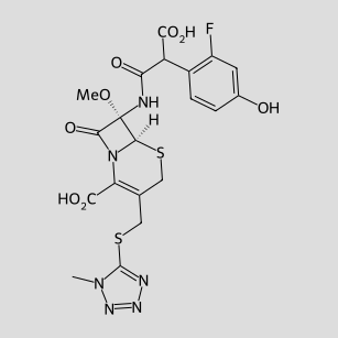 CO[C@@]1(NC(=O)C(C(=O)O)c2ccc(O)cc2F)C(=O)N2C(C(=O)O)=C(CSc3nnnn3C)CS[C@@H]21